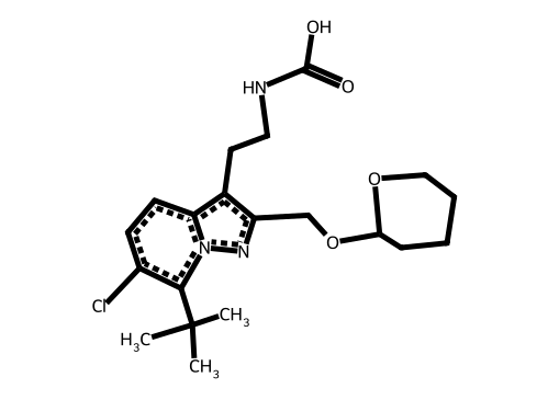 CC(C)(C)c1c(Cl)ccc2c(CCNC(=O)O)c(COC3CCCCO3)nn12